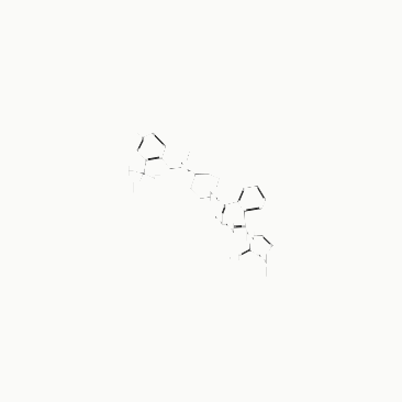 CN(Cc1ccc(F)cc1C(F)(F)F)C1CCN(c2nnc(-n3cc[nH]c3=O)c3ccccc23)CC1